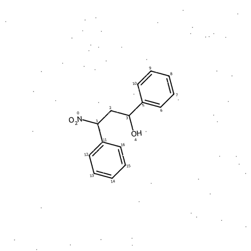 O=[N+]([O-])C(CC(O)c1ccccc1)c1ccccc1